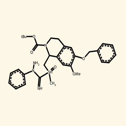 COc1cc2c(cc1OCc1ccccc1)CCN(C(=O)OC(C)(C)C)C2C[SH](C)(=O)C(=N)N(N)c1ccccc1